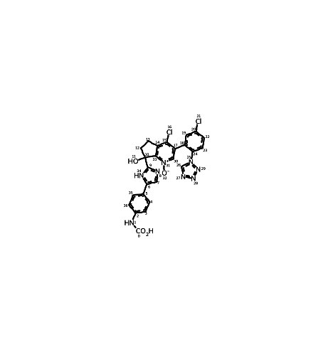 O=C(O)Nc1ccc(-c2cnc(C3(O)CCc4c(Cl)c(-c5cc(Cl)ccc5-n5cnnn5)c[n+]([O-])c43)[nH]2)cc1